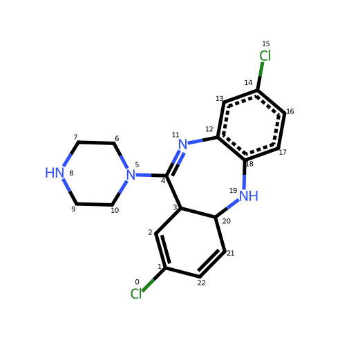 ClC1=CC2C(N3CCNCC3)=Nc3cc(Cl)ccc3NC2C=C1